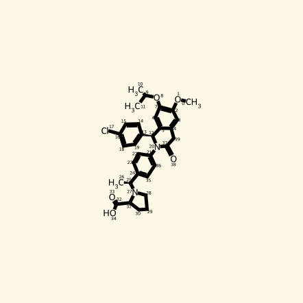 COc1cc2c(cc1OC(C)C)[C@H](c1ccc(Cl)cc1)N(c1ccc([C@H](C)N3CCCC3C(=O)O)cc1)C(=O)C2